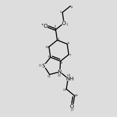 CCOC(=O)C1CCC2=C(C1)SCN2NCC=O